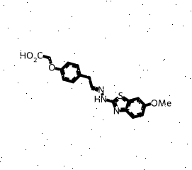 COc1ccc2nc(NN=CCc3ccc(OCC(=O)O)cc3)sc2c1